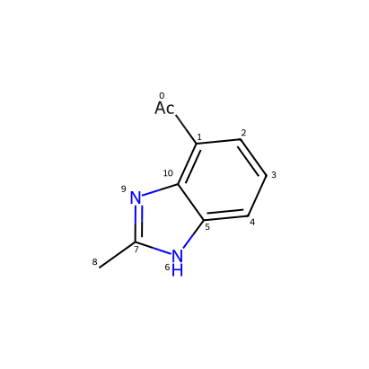 CC(=O)c1cccc2[nH]c(C)nc12